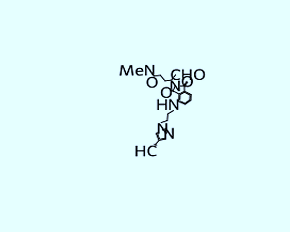 C#Cc1cnn(CCCCNc2cccc3c2C(=O)N(C(C=O)CCC(=O)NC)C3=O)c1